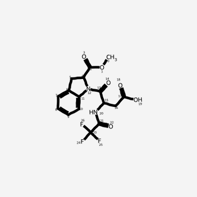 COC(=O)C1Cc2ccccc2N1C(=O)C(CC(=O)O)NC(=O)C(F)(F)F